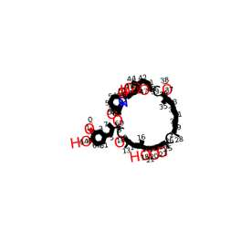 COC1CC(CC(C)[C@@H]2CC(=O)[C@H](C)/C=C(\C)[C@@H](O)C(OC)C(=O)[C@H](C)C[C@H](C)/C=C/C=C/C=C(\C)[C@@H](OC)CC3CCC(C)C(O)(O3)C(=O)C(=O)N3CCCC[C@H]3C(=O)O2)CC[C@H]1O